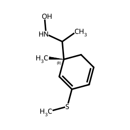 CSC1=C[C@](C)(C(C)NO)CC=C1